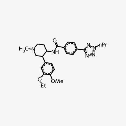 CCCn1nnc(-c2ccc(C(=O)NC3CCN(C)CC3c3ccc(OC)c(OCC)c3)cc2)n1